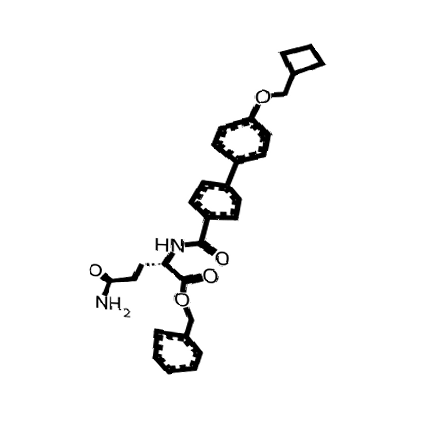 NC(=O)CC[C@H](NC(=O)c1ccc(-c2ccc(OCC3CCC3)cc2)cc1)C(=O)OCc1ccccc1